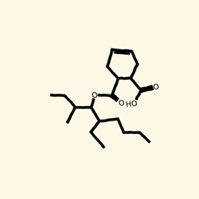 CCCCC(CC)C(OC(=O)C1CC=CCC1C(=O)O)C(C)CC